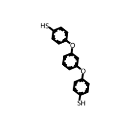 Sc1ccc(Oc2cccc(Oc3ccc(S)cc3)c2)cc1